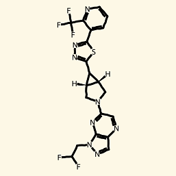 FC(F)Cn1ncc2ncc(N3C[C@@H]4C(c5nnc(-c6cccnc6C(F)(F)F)s5)[C@@H]4C3)nc21